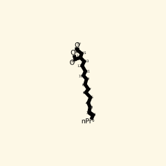 CCCC=CCCCCCCCCCCCC1CC(=O)OC1=O